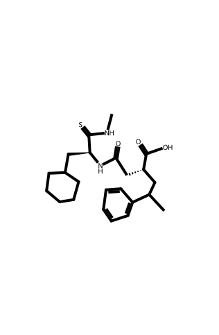 CNC(=S)[C@H](CC1CCCCC1)NC(=O)C[C@@H](CC(C)c1ccccc1)C(=O)O